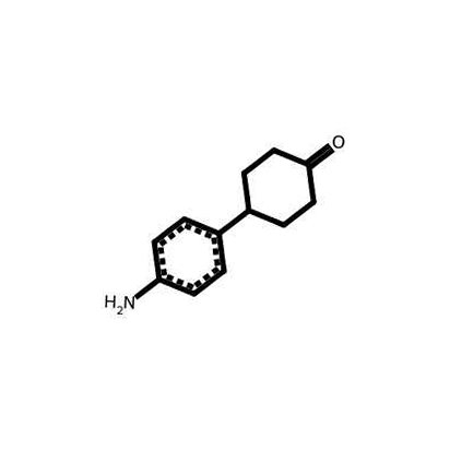 Nc1ccc(C2CCC(=O)CC2)cc1